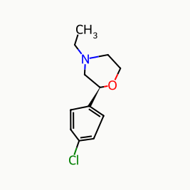 CCN1CCO[C@@H](c2ccc(Cl)cc2)C1